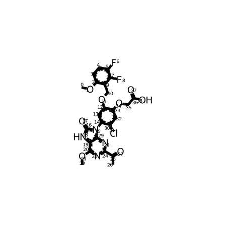 COc1ccc(F)c(F)c1COc1cc(-n2c(=O)[nH]c3c(OC)nc(C(C)=O)nc32)c(Cl)cc1OCC(=O)O